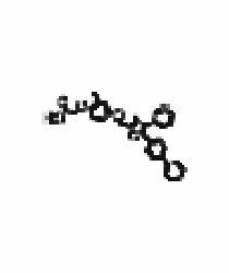 Cc1cc(OCc2nc(-c3cccnc3)c(-c3ccc(-c4ccccc4)cc3)o2)ccc1OCC(=O)O